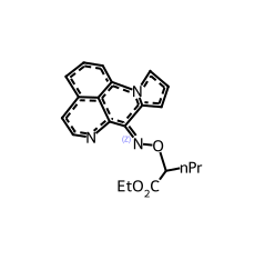 CCCC(O/N=c1/c2nccc3cccc(c32)n2cccc12)C(=O)OCC